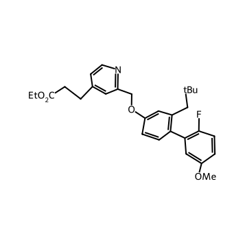 CCOC(=O)CCc1ccnc(COc2ccc(-c3cc(OC)ccc3F)c(CC(C)(C)C)c2)c1